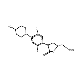 CC(=O)NC[C@H]1CN(c2cc(F)c(C3CCC(O)CC3)cc2F)C(=O)O1